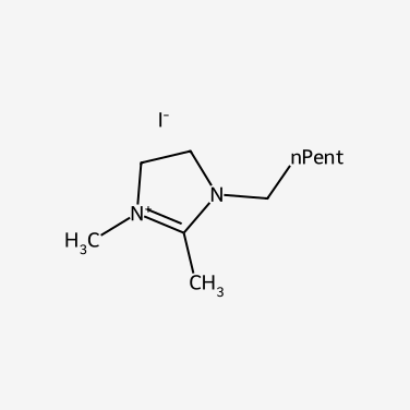 CCCCCCN1CC[N+](C)=C1C.[I-]